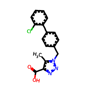 Cc1c(C(=O)O)nnn1Cc1ccc(-c2ccccc2Cl)cc1